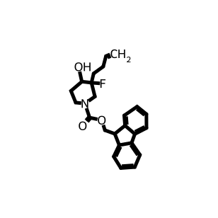 C=CCCC1(F)CN(C(=O)OCC2c3ccccc3-c3ccccc32)CCC1O